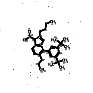 CCCCC1=Cc2c(ccc(CCC)c2-c2cc(C(C)(C)C)cc(C(C)(C)C)c2)[CH]1[Zr]([Cl])[Cl]